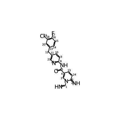 N=Cn1cc(C(=O)Nc2ccc(Cc3ccc(F)c(Cl)c3)cn2)ccc1=N